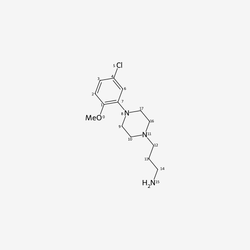 COc1ccc(Cl)cc1N1CCN(CCCN)CC1